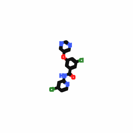 O=C(Nc1cc(Cl)ccn1)c1cc(Cl)cc(Oc2cncnc2)c1